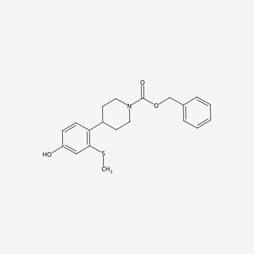 CSc1cc(O)ccc1C1CCN(C(=O)OCc2ccccc2)CC1